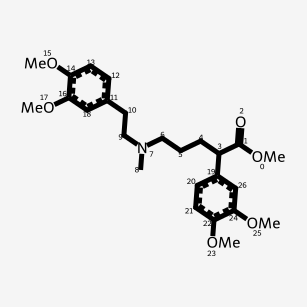 COC(=O)C(CCCN(C)CCc1ccc(OC)c(OC)c1)c1ccc(OC)c(OC)c1